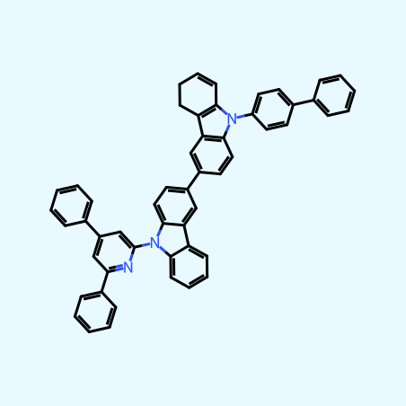 C1=Cc2c(c3cc(-c4ccc5c(c4)c4ccccc4n5-c4cc(-c5ccccc5)cc(-c5ccccc5)n4)ccc3n2-c2ccc(-c3ccccc3)cc2)CC1